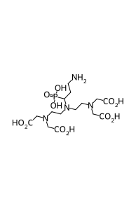 NCCC(N(CCN(CC(=O)O)CC(=O)O)CCN(CC(=O)O)CC(=O)O)P(=O)(O)O